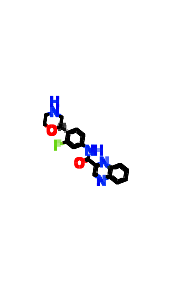 O=C(Nc1ccc([C@H]2CNCCO2)c(F)c1)c1cnc2ccccc2n1